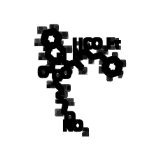 CCOC(=O)C(CCc1ccccc1)NC(C)C(=O)N1Cc2ccccc2CC1C(=O)OCCSCCO[N+](=O)[O-]